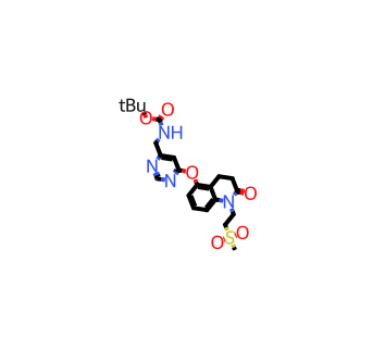 CC(C)(C)OC(=O)NCc1cc(Oc2cccc3c2CCC(=O)N3CCS(C)(=O)=O)ncn1